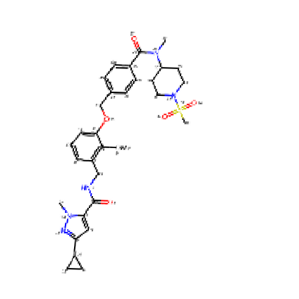 COc1c(CNC(=O)c2cc(C3CC3)nn2C)cccc1OCc1ccc(C(=O)N(C)C2CCN(S(C)(=O)=O)CC2)cc1